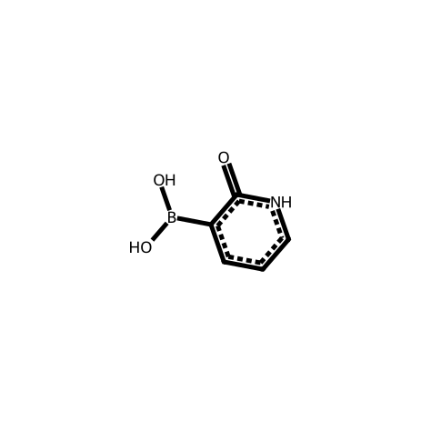 O=c1[nH]cccc1B(O)O